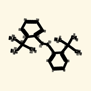 CC(C)(C)c1ccccc1SSc1ccccc1C(C)(C)C